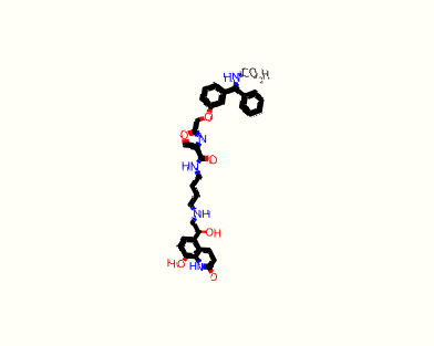 O=C(O)NC(c1ccccc1)c1cccc(OCc2nc(C(=O)NCCCCNC[C@@H](O)c3ccc(O)c4[nH]c(=O)ccc34)co2)c1